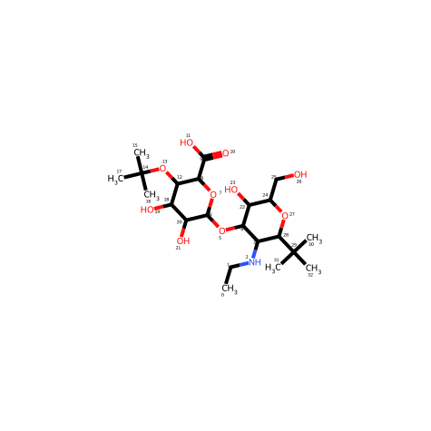 CCNC1C(OC2OC(C(=O)O)C(OC(C)(C)C)C(O)C2O)C(O)C(CO)OC1C(C)(C)C